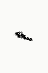 COc1cc(N2CCC(N3CCN(C)CC3)CC2)ccc1Nc1ncc(Cl)c(Nc2ccccc2-c2cccc(C=O)c2O)n1